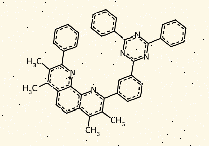 Cc1c(-c2ccccc2)nc2c(ccc3c(C)c(C)c(-c4cccc(-c5nc(-c6ccccc6)nc(-c6ccccc6)n5)c4)nc32)c1C